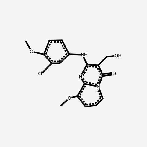 COc1ccc(Nc2nc3c(OC)cccn3c(=O)c2CO)cc1Cl